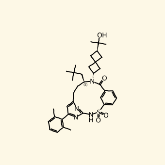 Cc1cccc(C)c1-c1cc2nc(n1)NS(=O)(=O)c1cccc(c1)C(=O)N([C@H]1CC3(C1)C[C@H](C(C)(C)O)C3)[C@H](CC(C)(C)C)CC2